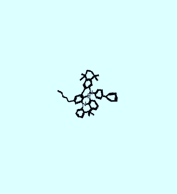 CCCCCc1cc2c3c(c1)N1c4ccccc4C(C)(C)c4cccc(c41)B3N(c1ccc(-c3ccccc3)cc1)c1cc3c(cc1-2)C(C)(C)CCC3(C)C